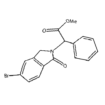 COC(=O)C(c1ccccc1)N1Cc2cc(Br)ccc2C1=O